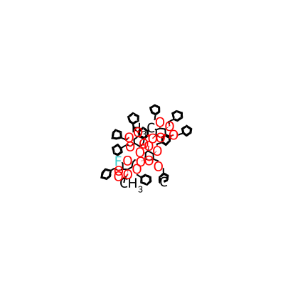 CC(=O)O[C@@H]1C(OCc2ccccc2)[C@@H](F)OC(CO[C@H]2OC(COCc3ccccc3)[C@@H](OCc3ccccc3)[C@H](OCc3ccccc3)C2O[C@H]2OC(CO[C@@H]3OC(COCc4ccccc4)[C@@H](OCc4ccccc4)[C@H](OCc4ccccc4)C3C)[C@@H](OCc3ccccc3)[C@H](OCc3ccccc3)C2OCc2ccccc2)[C@H]1OCc1ccccc1